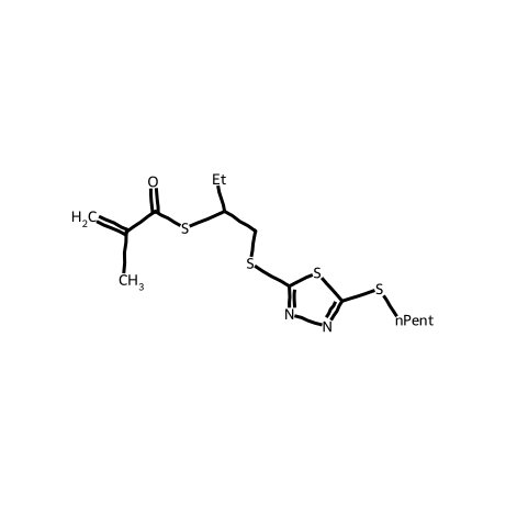 C=C(C)C(=O)SC(CC)CSc1nnc(SCCCCC)s1